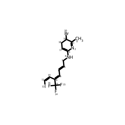 CC1=NC(NC/C=C/C=C(\C=C/I)C(F)(F)F)=CCC1Br